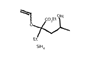 C=COC(CC)(CC(C)O)C(=O)OCC.[SiH4]